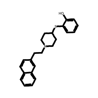 Oc1ccccc1SC1CCN(CCc2ccc3ccccc3c2)CC1